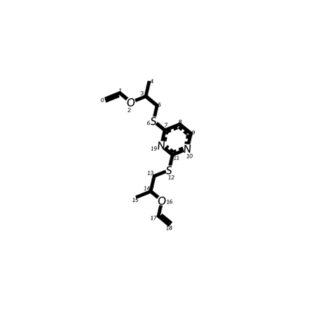 C=COC(C)CSc1ccnc(SCC(C)OC=C)n1